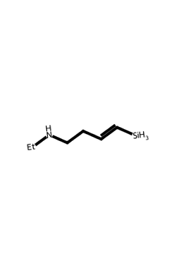 CCNCCC=C[SiH3]